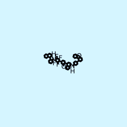 Oc1cc(-c2c(F)c(F)c(Nc3ccccc3-c3cccc4ccccc34)c(F)c2F)ccc1-c1ccc(Nc2ccc(-c3cccc4oc5ccccc5c34)cc2)c2ccccc12